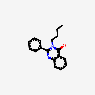 CCCCn1c(-c2ccccc2)nc2ccccc2c1=O